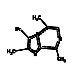 Cc1nc2c(C)ncc(C)n2c1C(C)C